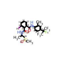 Cc1cc(C(F)(C(F)(F)F)C(F)(F)F)ccc1NC(=O)c1cccc(I)c1C(=O)NC(C)C[S+](C)[O-]